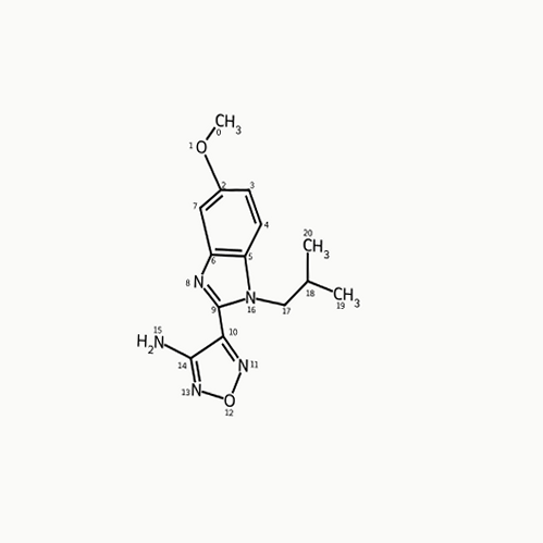 COc1ccc2c(c1)nc(-c1nonc1N)n2CC(C)C